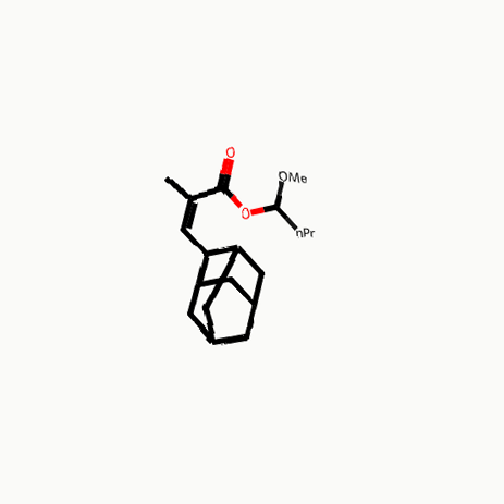 CCCC(OC)OC(=O)C(C)=CC1C2CC3CC(C2)CC1C3